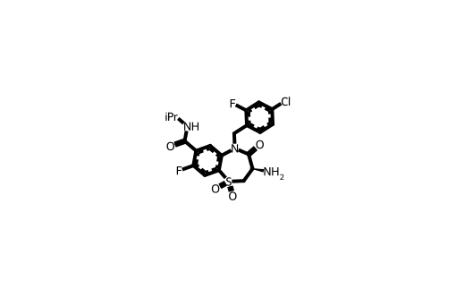 CC(C)NC(=O)c1cc2c(cc1F)S(=O)(=O)C[C@H](N)C(=O)N2Cc1ccc(Cl)cc1F